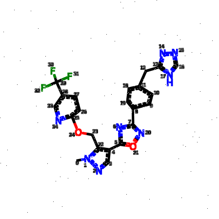 Cn1ncc(-c2nc(-c3ccc(Cc4nnc[nH]4)cc3)no2)c1COc1ccc(C(F)(F)F)cn1